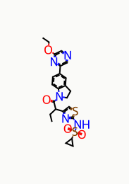 CCOc1cncc(-c2ccc3c(c2)CCN3C(=O)C(CC)c2csc(NS(=O)(=O)C3CC3)n2)n1